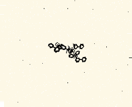 c1ccc(-c2cccc(-c3nc(-c4ccc5oc6c(-c7ccccc7)cccc6c5c4)nc(-c4cccc5c4c4ccccc4n5-c4cccc(-c5ccccc5)c4)n3)c2)cc1